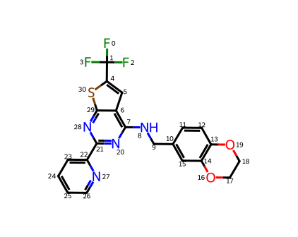 FC(F)(F)c1cc2c(NCc3ccc4c(c3)OCCO4)nc(-c3ccccn3)nc2s1